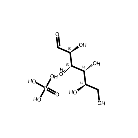 O=C[C@@H](O)[C@@H](O)[C@H](O)[C@H](O)CO.O=P(O)(O)O